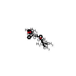 C[C@@H]1CN(C(C)(C)C=C(C#N)C(=O)N2C3CCC2(COC(=O)N[C@@H](Cc2ccccc2)B2O[C@@H]4C[C@@H]5C[C@@H](C5(C)C)[C@]4(C)O2)CC3)C[C@H](C)O1